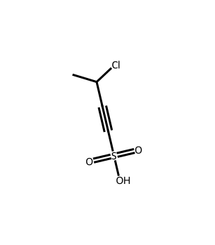 CC(Cl)C#CS(=O)(=O)O